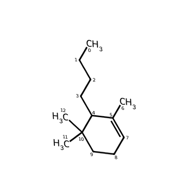 CCCCC1C(C)=CCCC1(C)C